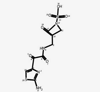 Nc1nc(C(=O)C(=O)NCC2CN(S(=O)(=O)O)C2=O)cs1